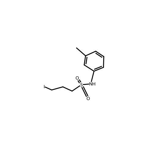 Cc1cccc(NS(=O)(=O)CCCI)c1